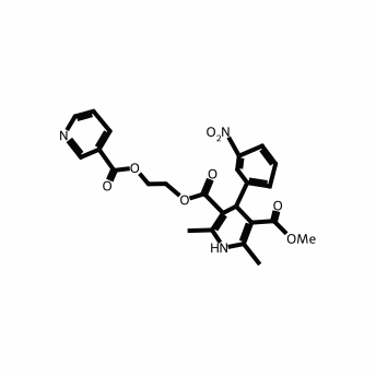 COC(=O)C1=C(C)NC(C)=C(C(=O)OCCOC(=O)c2cccnc2)C1c1cccc([N+](=O)[O-])c1